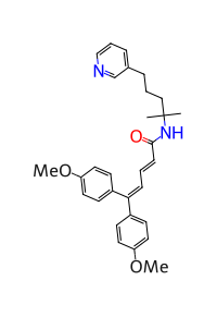 COc1ccc(C(=CC=CC(=O)NC(C)(C)CCCc2cccnc2)c2ccc(OC)cc2)cc1